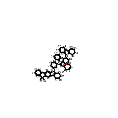 C[C@@H]1C=CC=CC1C[Si](c1ccccc1)(c1cccc(-n2c3c(c4ccccc42)C=CCC3)c1)c1cccc(-n2c3c(c4cc5c(cc42)-c2ccccc2C5(C)C)C=CCC3)c1